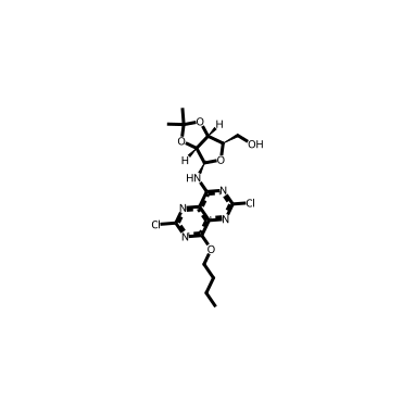 CCCCOc1nc(Cl)nc2c(N[C@@H]3O[C@H](CO)[C@H]4OC(C)(C)O[C@H]43)nc(Cl)nc12